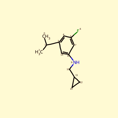 CC(C)c1cc(F)cc(NCC2CC2)c1